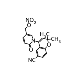 CC1(C)C=C(n2cc(CO[N+](=O)[O-])ccc2=O)c2cc(C#N)ccc2O1